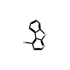 Clc1ccnc2oc3ccccc3c12